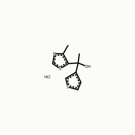 Cc1ncsc1C(C)(O)c1ccsc1.Cl